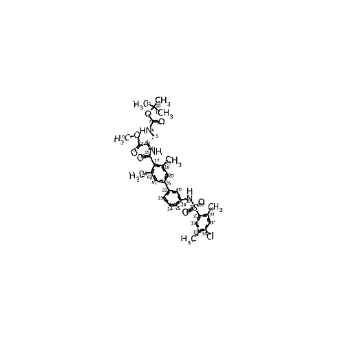 COC(=O)[C@H](CNC(=O)OC(C)(C)C)NC(=O)c1c(C)cc(-c2cccc(NS(=O)(=O)c3cc(C)c(Cl)cc3C)c2)cc1C